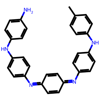 Cc1ccc(Nc2ccc(N=C3C=CC(=Nc4ccc(Nc5ccc(N)cc5)cc4)C=C3)cc2)cc1